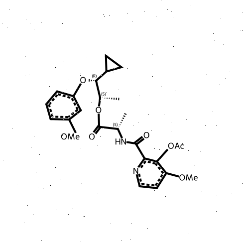 COc1cccc(O[C@H](C2CC2)[C@H](C)OC(=O)[C@H](C)NC(=O)c2nccc(OC)c2OC(C)=O)c1